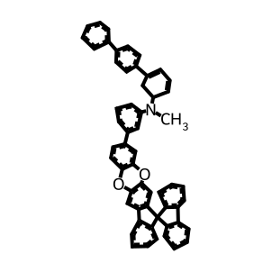 CN(c1cccc(-c2ccc3c(c2)Oc2cc4c(cc2O3)-c2ccccc2C42c3ccccc3-c3ccccc32)c1)C1C=CC=C(c2ccc(-c3ccccc3)cc2)C1